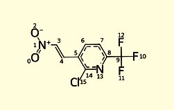 O=[N+]([O-])C=Cc1ccc(C(F)(F)F)nc1Cl